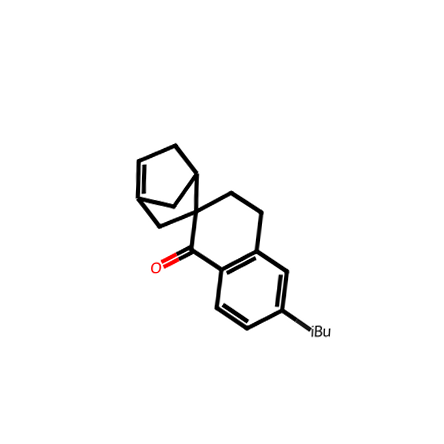 CCC(C)c1ccc2c(c1)CCC1(CC3=CCC1C3)C2=O